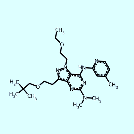 CCOCCn1nc(CCOCC(C)(C)C)c2nc(N(C)C)nc(Nc3cc(C)ccn3)c21